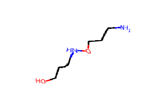 NCCCONCCCO